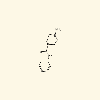 Cc1ccccc1NC(=O)N1CCN(N)CC1